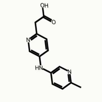 Cc1ccc(Nc2ccc(CC(=O)O)nc2)cn1